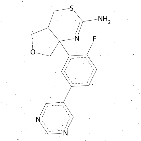 NC1=NC2(c3cc(-c4cncnc4)ccc3F)COCC2CS1